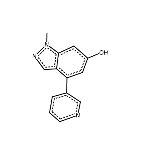 Cn1ncc2c(-c3cccnc3)cc(O)cc21